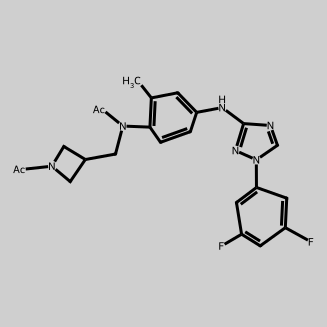 CC(=O)N1CC(CN(C(C)=O)c2ccc(Nc3ncn(-c4cc(F)cc(F)c4)n3)cc2C)C1